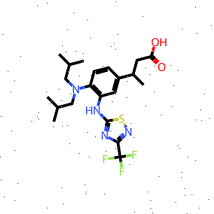 CC(C)CN(CC(C)C)c1ccc(C(C)CC(=O)O)cc1Nc1nc(C(F)(F)F)ns1